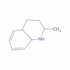 CC1CCC2C=CC=CC2N1